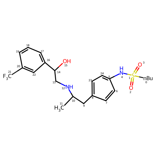 CCCCS(=O)(=O)Nc1ccc(CC(C)NCC(O)c2cccc(C(F)(F)F)c2)cc1